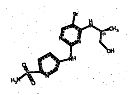 C[C@@H](CO)Nc1nc(Nc2ccc(S(N)(=O)=O)nc2)ncc1Br